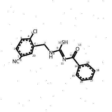 N#Cc1ccc(Cl)c(CN/C(S)=N/C(=O)c2ccccc2)c1